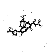 CN[C@H]1CCN(c2c(F)cc3c(=O)c(C(=O)C[N+](=O)[O-])cn(C4CC4)c3c2OC)C1.Cl